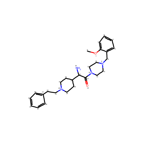 COc1ccccc1CN1CCN(C(=O)C(N)C2CCN(CCc3ccccc3)CC2)CC1